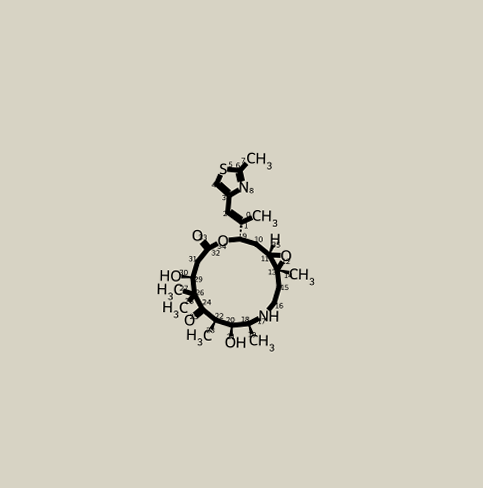 CC(=Cc1csc(C)n1)[C@@H]1C[C@@H]2O[C@]2(C)CCN[C@@H](C)[C@@H](O)[C@@H](C)C(=O)C(C)(C)[C@@H](O)CC(=O)O1